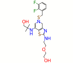 CC(C)(CO)NC1=CN(SCc2cccc(F)c2F)Cc2nc(NCCOCCO)sc21